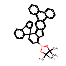 CC1(C)OB(C2=C3C=c4cc5c6ccccc6c6ccccc6c5cc4=C3C3(C=C2)c2ccccc2-c2ccccc23)OC1(C)C